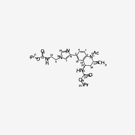 CC(=O)N1c2ccc(-c3cn(CCNC(=O)OC(C)C)cn3)cc2[C@H](NC(=O)OC(C)C)C[C@@H]1C